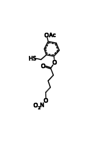 CC(=O)Oc1ccc(OC(=O)CCCCO[N+](=O)[O-])c(CS)c1